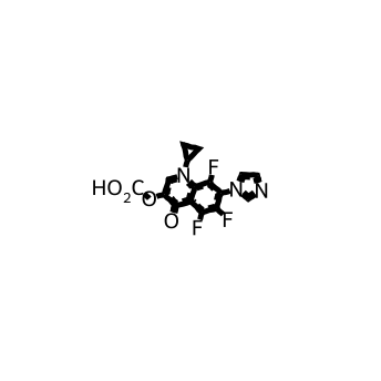 O=C(O)Oc1cn(C2CC2)c2c(F)c(-n3ccnc3)c(F)c(F)c2c1=O